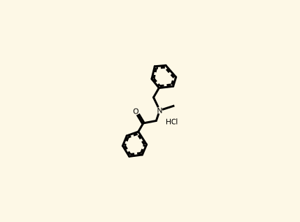 CN(CC(=O)c1ccccc1)Cc1ccccc1.Cl